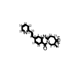 CC1Cn2c(nc3cc(C=Cc4ccccn4)ccc3c2=O)CCC1(F)F